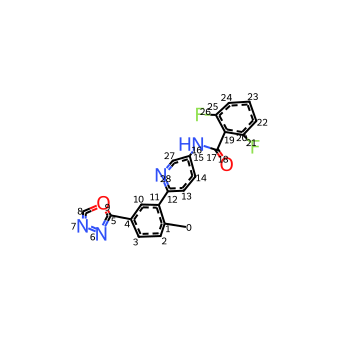 Cc1ccc(-c2nnco2)cc1-c1ccc(NC(=O)c2c(F)cccc2F)cn1